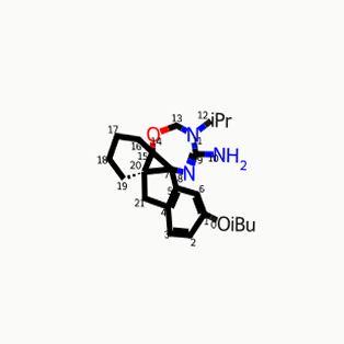 CC(C)COc1ccc2c(c1)C13N=C(N)N(C(C)C)COC14CCCC[C@]43C2